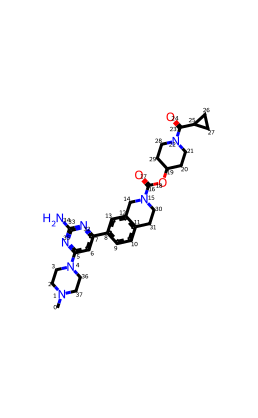 CN1CCN(c2cc(-c3ccc4c(c3)CN(C(=O)OC3CCN(C(=O)C5CC5)CC3)CC4)nc(N)n2)CC1